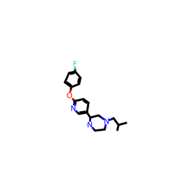 CC(C)CN1CC[N]C(c2ccc(Oc3ccc(F)cc3)nc2)C1